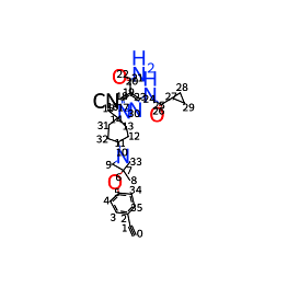 C#Cc1ccc(OC2(C)CN(C3CCC(CC#N)(n4cc(C(N)=O)c(NC(=O)C5CC5)n4)CC3)C2)cc1